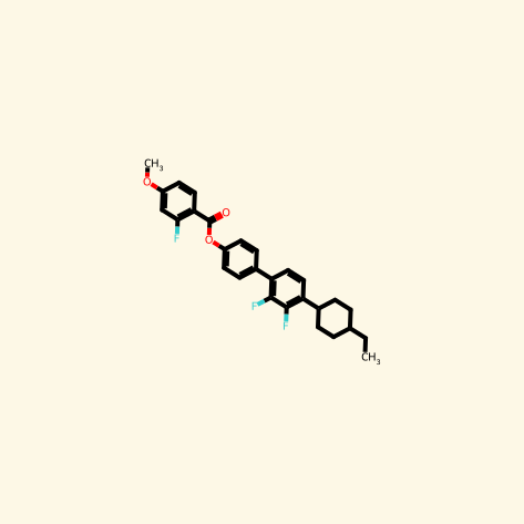 CCC1CCC(c2ccc(-c3ccc(OC(=O)c4ccc(OC)cc4F)cc3)c(F)c2F)CC1